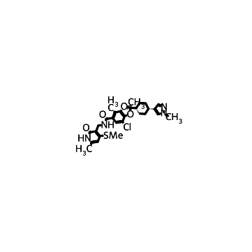 CSc1cc(C)[nH]c(=O)c1CNC(=O)c1cc(Cl)c2c(c1C)O[C@@](C)([C@H]1CC[C@@H](c3cnn(C)c3)CC1)O2